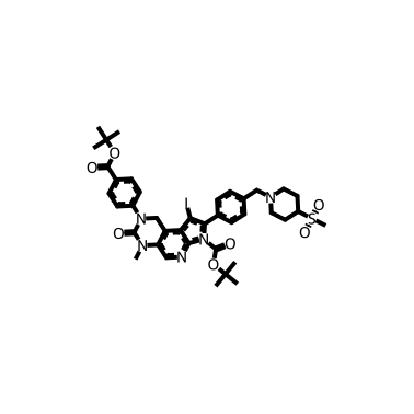 CN1C(=O)N(c2ccc(C(=O)OC(C)(C)C)cc2)Cc2c1cnc1c2c(I)c(-c2ccc(CN3CCC(S(C)(=O)=O)CC3)cc2)n1C(=O)OC(C)(C)C